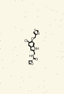 O=C(NCc1cc2cc(Cl)c(OCc3cscn3)cc2[nH]1)[C@H]1CCO1